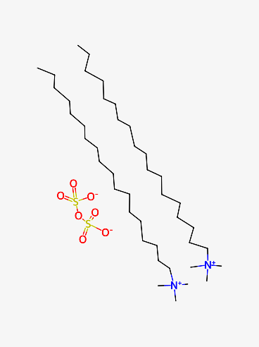 CCCCCCCCCCCCCCCCCC[N+](C)(C)C.CCCCCCCCCCCCCCCCCC[N+](C)(C)C.O=S(=O)([O-])OS(=O)(=O)[O-]